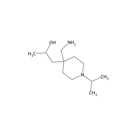 CC(O)CC1(CN)CCN(C(C)C)CC1